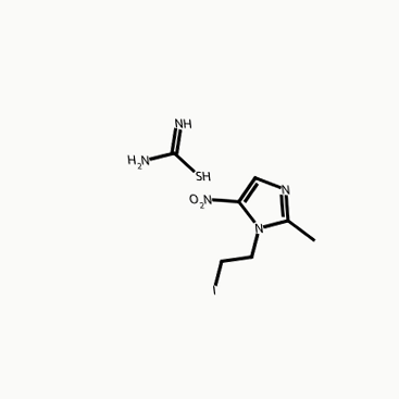 Cc1ncc([N+](=O)[O-])n1CCI.N=C(N)S